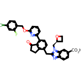 O=C(O)c1ccc2nc(Cc3ccc(-c4cccc(OCc5ccc(Cl)cc5F)n4)c4c3CCC4=O)n(C[C@@H]3CCO3)c2c1